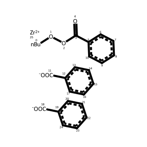 CCCCOOC(=O)c1ccccc1.O=C([O-])c1ccccc1.O=C([O-])c1ccccc1.[Zr+2]